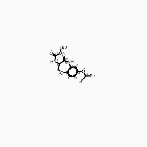 CC(C)(C)OC(=O)NC1COc2ccc(OC(F)F)cc2NC1=O